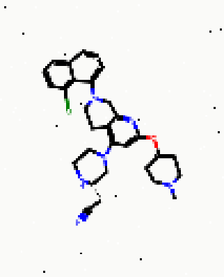 CN1CCC(Oc2cc(N3CCN[C@@H](CC#N)C3)c3c(n2)CN(c2cccc4cccc(Cl)c24)CC3)CC1